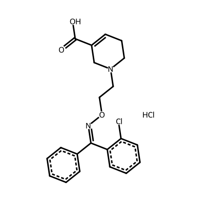 Cl.O=C(O)C1=CCCN(CCO/N=C(/c2ccccc2)c2ccccc2Cl)C1